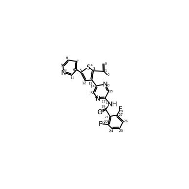 C=C(C)c1sc(-c2cccnc2)cc1-c1cnc(NC(=O)c2c(F)cccc2F)cn1